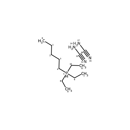 CCCCC[PH](CC)(CC)CC.N#CN.N#CN